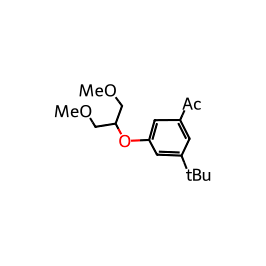 COCC(COC)Oc1cc(C(C)=O)cc(C(C)(C)C)c1